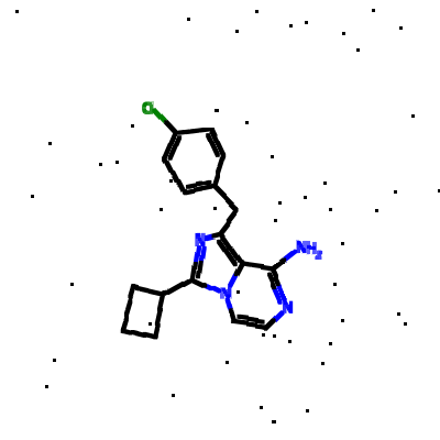 Nc1nccn2c(C3CCC3)nc(Cc3ccc(Cl)cc3)c12